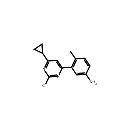 Cc1ccc(N)cc1-c1cc(C2CC2)nc(Cl)n1